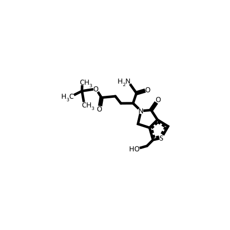 CC(C)(C)OC(=O)CCC(C(N)=O)N1Cc2c(csc2CO)C1=O